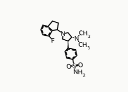 CN(C)[C@H]1CN(C2CCc3cccc(F)c32)C[C@@H]1c1ccc(S(N)(=O)=O)cc1